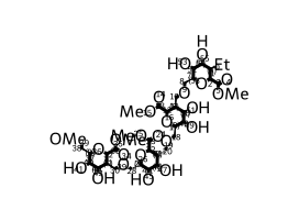 CC[C@H]1C(C(=O)OC)O[C@@H](COC[C@@H]2C(C(=O)OC)O[C@H](COC[C@H]3C(C(=O)OC)O[C@@H](COC[C@@H]4C(C(=O)OC)O[C@H](COC)C(O)[C@@H]4O)C(O)[C@@H]3O)C(O)[C@@H]2O)C(O)[C@@H]1O